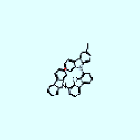 Ic1ccc2c(c1)c1ccccc1n2-c1cccc2c1oc1c(-n3c4ccccc4c4ccccc43)cccc12